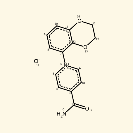 NC(=O)c1cc[n+](-c2cccc3c2OCCO3)cc1.[Cl-]